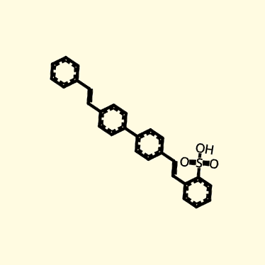 O=S(=O)(O)c1ccccc1C=Cc1ccc(-c2ccc(C=Cc3ccccc3)cc2)cc1